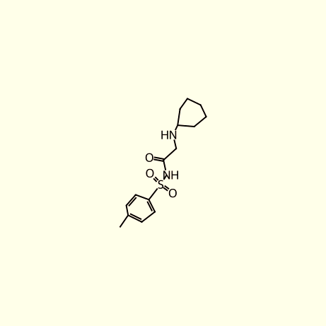 Cc1ccc(S(=O)(=O)NC(=O)CNC2CCCCC2)cc1